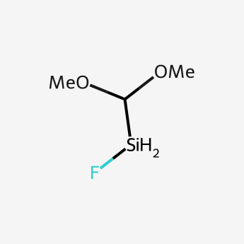 COC(OC)[SiH2]F